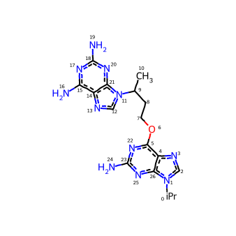 CC(C)n1cnc2c(OCCC(C)n3cnc4c(N)nc(N)nc43)nc(N)nc21